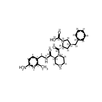 Cc1nc(N)ccc1CNC(=O)[C@@H]1COCCN1C(=O)[C@H]1C[C@H](Cc2ccccc2)CN1C(=O)O